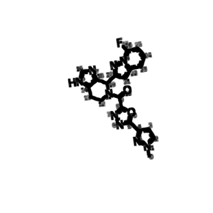 Cn1ccc(-c2nnc(C(=O)N3CCc4[nH]cnc4C3c3cc4cccc(F)n4n3)o2)n1